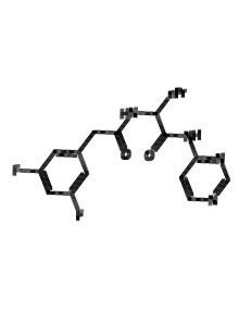 CCCC(NC(=O)Cc1cc(F)cc(F)c1)C(=O)Nc1ccncn1